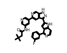 CC(C)(C)CC(=O)Nc1cncc(-c2cc3c(-c4cc5c(-c6cccc(F)c6)nccc5[nH]4)n[nH]c3cn2)c1